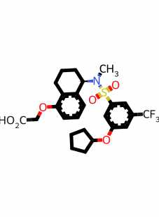 CN([C@@H]1CCCc2c(OCC(=O)O)cccc21)S(=O)(=O)c1cc(OC2CCCC2)cc(C(F)(F)F)c1